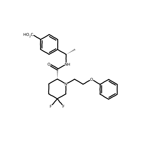 C[C@H](NC(=O)[C@H]1CCC(F)(F)CN1CCOc1ccccc1)c1ccc(C(=O)O)cc1